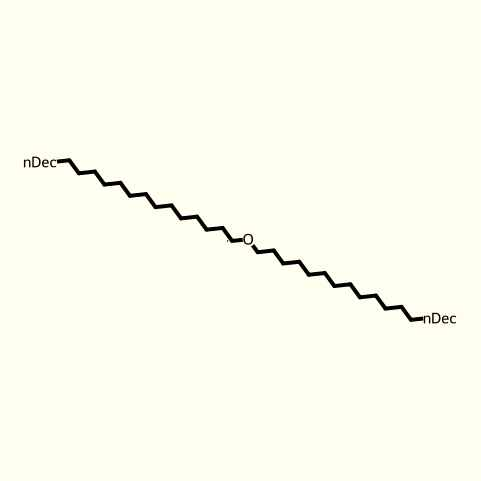 CCCCCCCCCCCCCCCCCCCCCCC[CH]OCCCCCCCCCCCCCCCCCCCCCCC